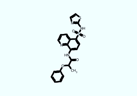 CC(Oc1ccccc1)C(=O)Nc1ccc(S(=O)(=O)Nc2nccs2)c2cccnc12